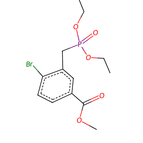 CCOP(=O)(Cc1cc(C(=O)OC)ccc1Br)OCC